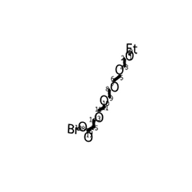 CCOCCOCCOCCOCCOCCC(=O)OBr